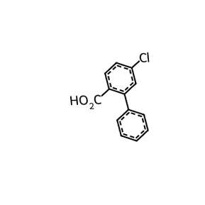 O=C(O)c1ccc(Cl)cc1-c1ccccc1